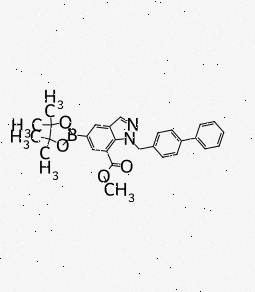 COC(=O)c1cc(B2OC(C)(C)C(C)(C)O2)cc2cnn(Cc3ccc(-c4ccccc4)cc3)c12